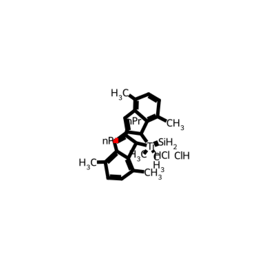 CCCC1=Cc2c(C)ccc(C)c2[CH]1[Ti]([CH3])([CH3])(=[SiH2])[CH]1C(CCC)=Cc2c(C)ccc(C)c21.Cl.Cl